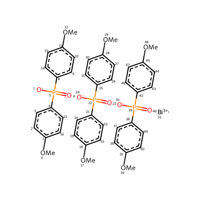 COc1ccc(P(=O)([O-])c2ccc(OC)cc2)cc1.COc1ccc(P(=O)([O-])c2ccc(OC)cc2)cc1.COc1ccc(P(=O)([O-])c2ccc(OC)cc2)cc1.[Bi+3]